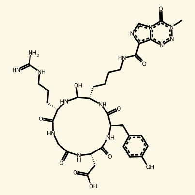 Cn1nnc2c(C(=O)NCCCC[C@@H]3NC(=O)[C@@H](Cc4ccc(O)cc4)NC(=O)[C@H](CC(=O)O)NC(=O)CNC(=O)[C@H](CCCNC(=N)N)NC3O)ncn2c1=O